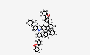 CC1(C)c2ccccc2-c2ccc(N(c3ccc(-c4ccc5c(c4)oc4ccccc45)cc3)c3ccc4c(c3)C(c3ccccc3)(c3ccccc3)c3cccc(-c5ccc6c(c5)oc5ccccc56)c3-4)cc21